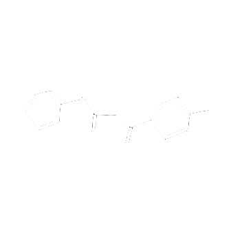 O=C(CC(=O)c1ccc(Cl)cc1)Nc1ccccc1